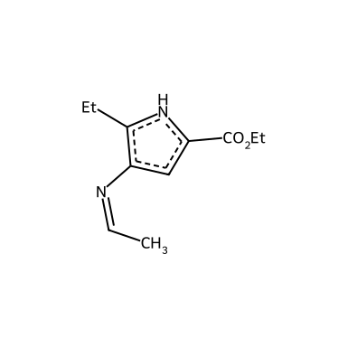 C/C=N\c1cc(C(=O)OCC)[nH]c1CC